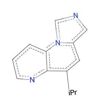 CC(C)c1cc2cncn2c2cccnc12